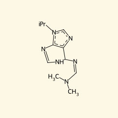 CC(C)n1cnc2c1N=CNC2/N=C\N(C)C